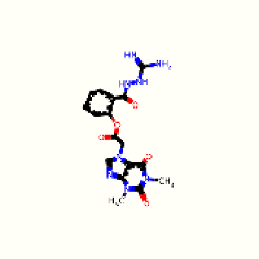 Cn1c(=O)c2c(ncn2CC(=O)Oc2ccccc2C(=O)NNC(=N)N)n(C)c1=O